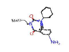 COCCn1c(=O)c2cc(N)ccc2n(C2CCCCC2)c1=O